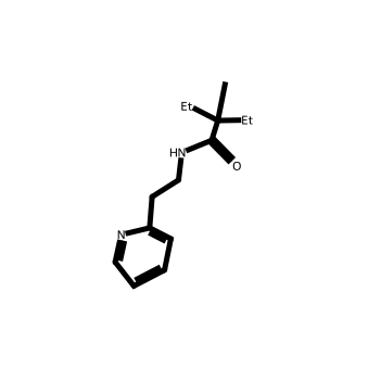 CCC(C)(CC)C(=O)NCCc1ccccn1